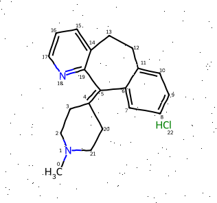 CN1CCC(=C2c3ccccc3CCc3cccnc32)CC1.Cl